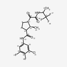 CC(NC(=O)C(=O)N1CCC(C(=O)Nc2cc(F)c(F)c(Cl)c2)[C@@H]1C)C(F)(F)F